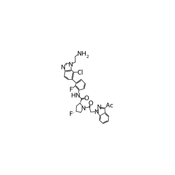 CC(=O)c1nn(CC(=O)N2C[C@H](F)C[C@H]2C(=O)Nc2cccc(-c3ccc4ncn(CCN)c4c3Cl)c2F)c2ccccc12